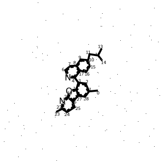 Cc1cc(-c2nccc3cc(CC(C)C)ccc23)c2oc3nc(C)ccc3c2c1